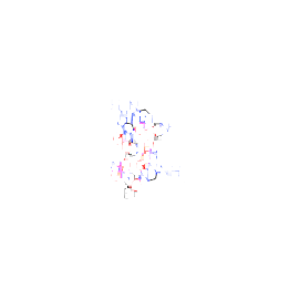 CC[C@@H]1CN(P(=O)(OC[C@@H]2CN(P(=O)(OC[C@@H]3CN(C)C[C@H](n4ccc(N)nc4=O)O3)N(C)C)C[C@H](n3ccc(N)nc3=O)O2)N(C)C)C[C@H](n2ccc(N)nc2=O)O1